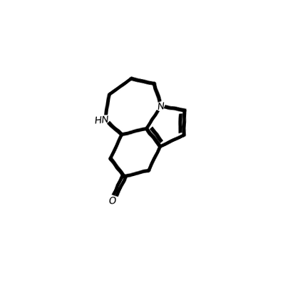 O=C1Cc2ccn3c2C(C1)NCCC3